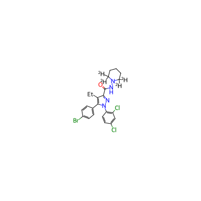 [2H]C1([2H])CCCC([2H])([2H])N1NC(=O)c1nn(-c2ccc(Cl)cc2Cl)c(-c2ccc(Br)cc2)c1CC